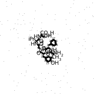 CC(C)[C@H](NC(=O)CNC(=O)[C@H](Cc1ccc(O)cc1)NC(=O)[C@H](Cc1ccccc1)NC(=O)[C@H](C)N)C(=O)N[C@@H](CO)C(=O)O